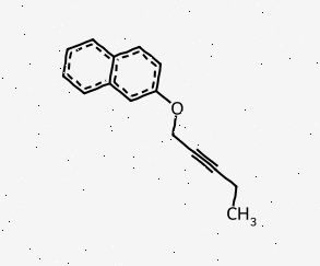 CCC#CCOc1ccc2ccccc2c1